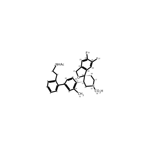 CC(=O)NCCc1ccccc1-c1ccc([C@H]2CN(C(=O)O)CC[C@@]23OCc2cc(F)c(F)cc23)c(C)c1